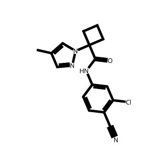 Cc1cnn(C2(C(=O)Nc3ccc(C#N)c(Cl)c3)CCC2)c1